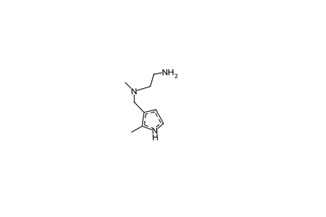 Cc1[nH]ccc1CN(C)CCN